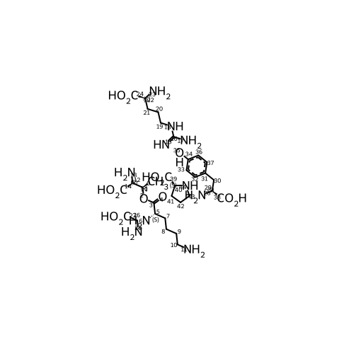 C[C@@H](OC(=O)[C@@H](N)CCCCN)[C@H](N)C(=O)O.N=C(N)NCCC[C@H](N)C(=O)O.NCC(=O)O.N[C@@H](Cc1ccc(O)cc1)C(=O)O.O=C(O)[C@@H]1CCCN1